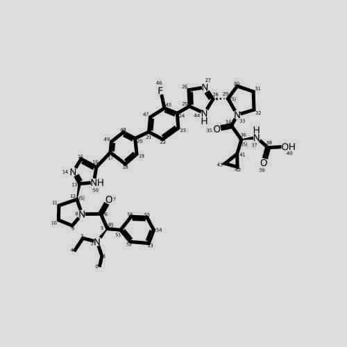 CCN(CC)[C@@H](C(=O)N1CCC[C@H]1c1ncc(-c2ccc(-c3ccc(-c4cnc([C@@H]5CCCN5C(=O)[C@@H](NC(=O)O)C5CC5)[nH]4)c(F)c3)cc2)[nH]1)c1ccccc1